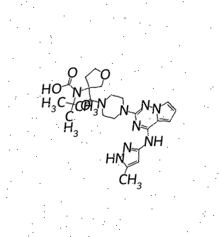 Cc1cc(Nc2nc(N3CCN(C(=O)C4(N(C(=O)O)C(C)(C)C)CCOC4)CC3)nn3cccc23)n[nH]1